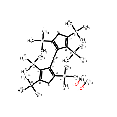 C[O-].C[O-].C[Si](C)(C)C1=[C]([Ti+2][C]2=C([Si](C)(C)C)CC([Si](C)(C)C)=C2[Si](C)(C)C)C([Si](C)(C)C)=C([Si](C)(C)C)C1